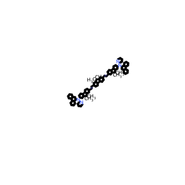 CC1(C)c2cc(/C=C/c3ccc4c(c3)C(C)(C)c3cc(N(c5ccccn5)c5cc6ccccc6c6ccccc56)ccc3-4)ccc2-c2ccc(/C=C/c3ccc4c(c3)C(C)(C)c3cc(N(c5ccccn5)c5cc6ccccc6c6ccccc56)ccc3-4)cc21